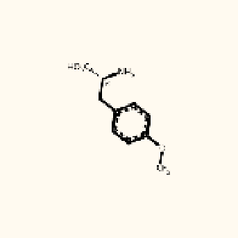 N[C@H](Cc1ccc(OC(F)(F)F)cc1)C(=O)O